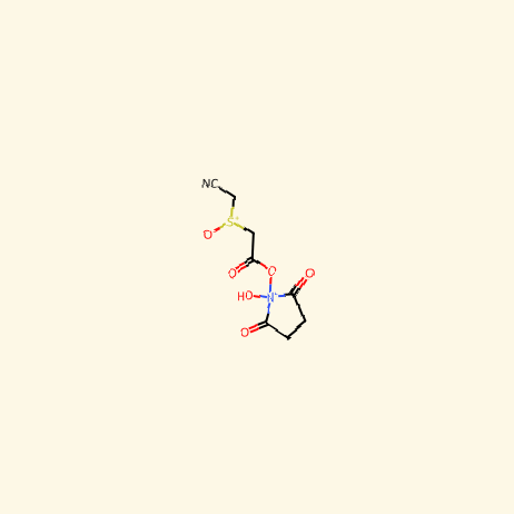 N#CC[S+]([O-])CC(=O)O[N+]1(O)C(=O)CCC1=O